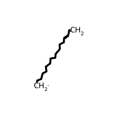 [CH2]CCCCCCCCCCCC/C=C/C=C